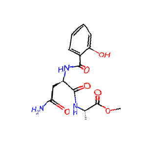 COC(=O)[C@H](C)NC(=O)[C@@H](CC(N)=O)NC(=O)c1ccccc1O